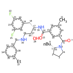 CCCC[C@H]1CCCN1C(=O)c1cc(C)cc(C(=O)N[C@@H](Cc2cc(F)cc(F)c2)[C@H](O)CNCc2cccc(CC)c2)c1